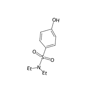 CCN(CC)S(=O)(=O)c1ccc(O)cc1